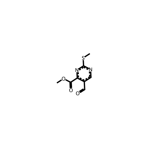 COC(=O)c1nc(SC)ncc1C=O